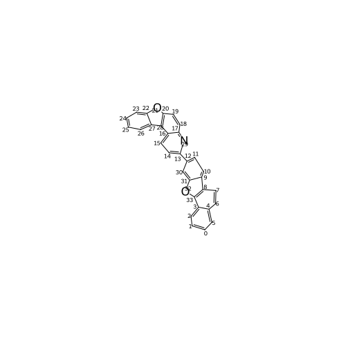 c1ccc2c(c1)ccc1c3ccc(-c4ccc5c(ccc6oc7ccccc7c65)n4)cc3oc21